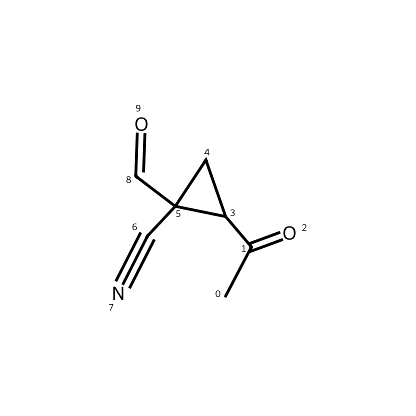 CC(=O)C1CC1(C#N)C=O